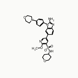 COc1ncc(-c2ccc3nc(N)n(-c4ccc(N5CCOCC5)cc4)c3c2)cc1S(=O)(=O)NC1CCOCC1